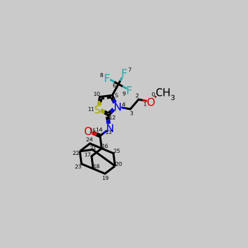 COCCn1c(C(F)(F)F)cs/c1=N\C(=O)C12CC3CC(CC(C3)C1)C2